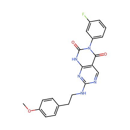 COc1ccc(CCNc2ncc3c(=O)n(-c4cccc(F)c4)c(=O)[nH]c3n2)cc1